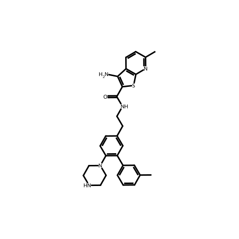 Cc1cccc(-c2cc(CCNC(=O)c3sc4nc(C)ccc4c3N)ccc2N2CCNCC2)c1